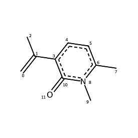 C=C(C)c1ccc(C)n(C)c1=O